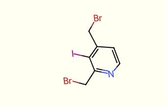 BrCc1ccnc(CBr)c1I